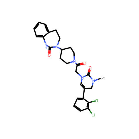 CC(C)N1CC(c2cccc(Cl)c2Cl)=CN(CC(=O)N2CCC(N3CCc4ccccc4NC3=O)CC2)C1=O